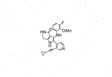 COc1c(F)cccc1Nc1c(-c2ccncc2C#CC2CC2)[nH]c2c1C(=O)NCC2